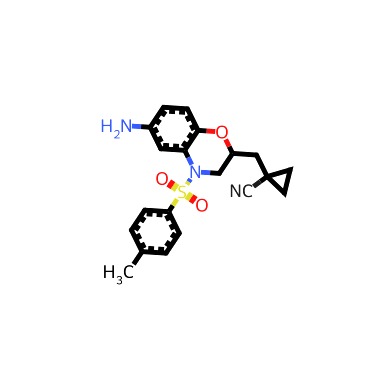 Cc1ccc(S(=O)(=O)N2CC(CC3(C#N)CC3)Oc3ccc(N)cc32)cc1